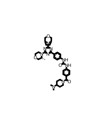 C[C@@H]1COCCN1c1nc(-c2ccc(NC(=O)Nc3ccc(C(=O)N4CCC(N(C)C)CC4)cc3)cc2)nc(N2C3CCC2COC3)n1